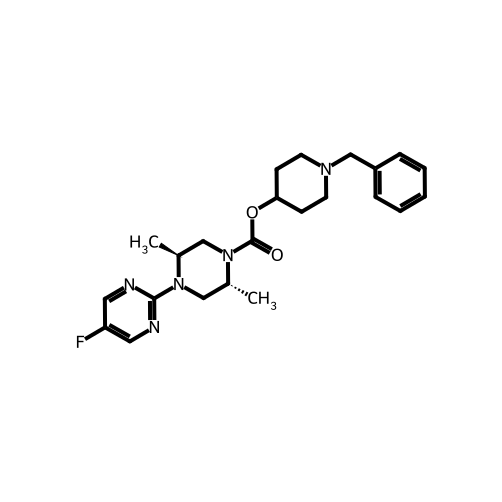 C[C@@H]1CN(c2ncc(F)cn2)[C@@H](C)CN1C(=O)OC1CCN(Cc2ccccc2)CC1